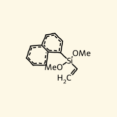 C=C[Si](OC)(OC)c1cccc2ccccc12